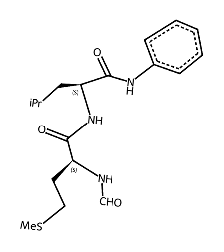 CSCC[C@H](NC=O)C(=O)N[C@@H](CC(C)C)C(=O)Nc1ccccc1